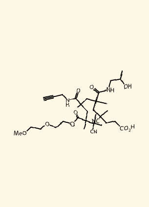 C#CCNC(=O)C(C)(CC(C)(CC(C)(C#N)CCC(=O)O)C(=O)NCC(C)O)CC(C)(C(=O)OCCOCCOC)C(C)(C)C#N